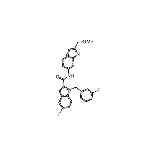 COCc1cn2ccc(NC(=O)c3cc4cc(F)ccc4n3Cc3cccc(F)c3)cc2n1